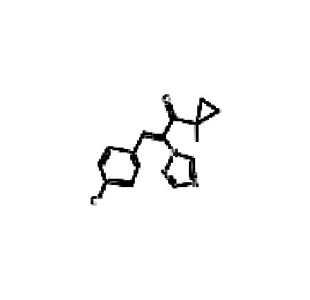 CC1(C(=O)C(=Cc2ccc(Cl)cc2)n2cncn2)CC1